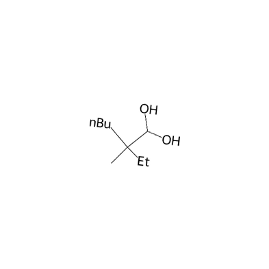 CCCCC(C)(CC)C(O)O